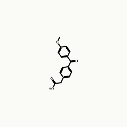 COc1ccc(C(=O)c2ccc(CC(=O)O)cc2)cc1